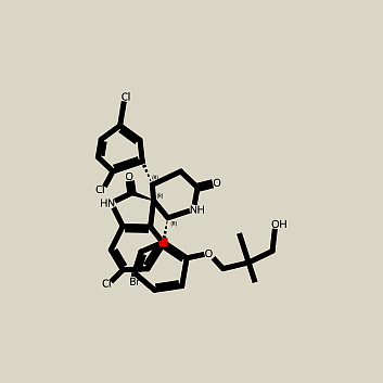 CC(C)(CO)COc1ccc(Br)cc1[C@H]1NC(=O)C[C@@H](c2cc(Cl)ccc2Cl)[C@]12C(=O)Nc1cc(Cl)ccc12